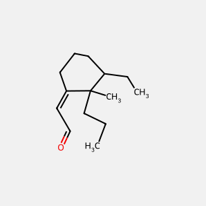 CCCC1(C)/C(=C\C=O)CCCC1CC